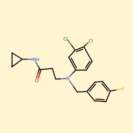 O=C(CCN(Cc1ccc(F)cc1)c1ccc(Cl)c(Cl)c1)NC1CC1